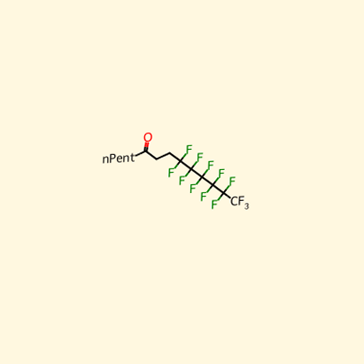 CCCCCC(=O)CCC(F)(F)C(F)(F)C(F)(F)C(F)(F)C(F)(F)C(F)(F)F